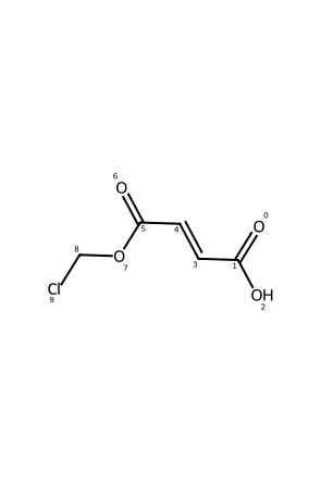 O=C(O)/C=C/C(=O)OCCl